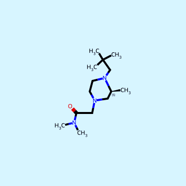 C[C@H]1CN(CC(=O)N(C)C)CCN1CC(C)(C)C